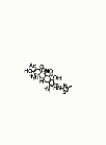 CC(=O)C1=C(O)C(N(C)C)[C@@H]2C[C@@H]3Cc4c(N(C)C)cc(CNc5nc(C)cs5)c(O)c4C(=O)C3=C(N=O)[C@]2(O)C1=O